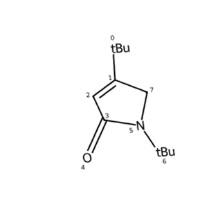 CC(C)(C)C1=CC(=O)N(C(C)(C)C)C1